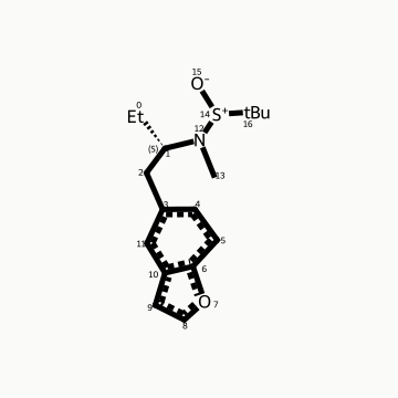 CC[C@@H](Cc1ccc2occc2c1)N(C)[S+]([O-])C(C)(C)C